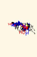 Cc1ncsc1-c1ccc([C@H](C)NC(=O)[C@@H]2C[C@@H](O)CN2C(=O)[C@@H](c2cc(O[C@@H](C)CN3CCC(N4CCN5c6cc(-c7ccccc7O)nnc6NC[C@H]5C4)CC3)no2)C(C)C)cc1